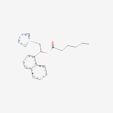 CCCCCC(=O)OC(Cn1ccnc1)c1cccc2ccccc12